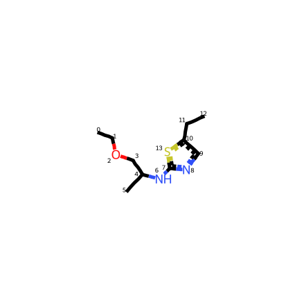 CCOCC(C)Nc1ncc(CC)s1